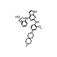 COc1cc(N2CCC3(CCN(C)CC3)CC2)ccc1Nc1nc(Nc2ccccc2[PH](C)(C)O)c2cc[nH]c2n1